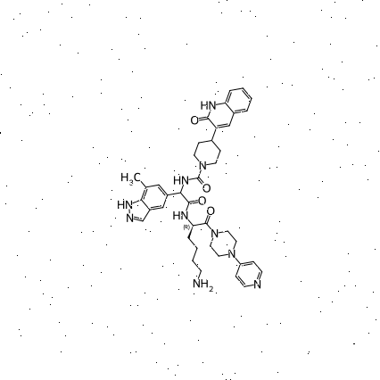 Cc1cc(C(NC(=O)N2CCC(c3cc4ccccc4[nH]c3=O)CC2)C(=O)N[C@H](CCCCN)C(=O)N2CCN(c3ccncc3)CC2)cc2cn[nH]c12